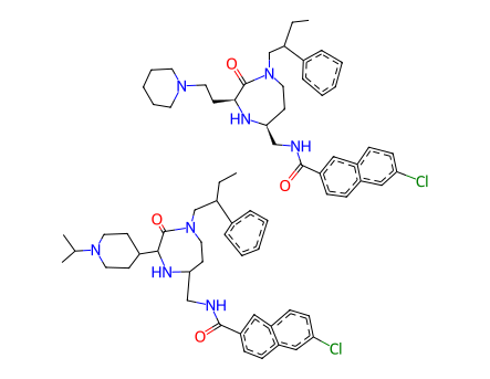 CCC(CN1CCC(CNC(=O)c2ccc3cc(Cl)ccc3c2)NC(C2CCN(C(C)C)CC2)C1=O)c1ccccc1.CCC(CN1CC[C@@H](CNC(=O)c2ccc3cc(Cl)ccc3c2)N[C@@H](CCN2CCCCC2)C1=O)c1ccccc1